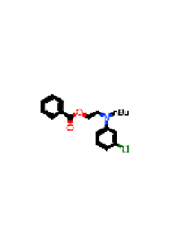 CCCCN(CCOC(=O)c1ccccc1)c1cccc(Cl)c1